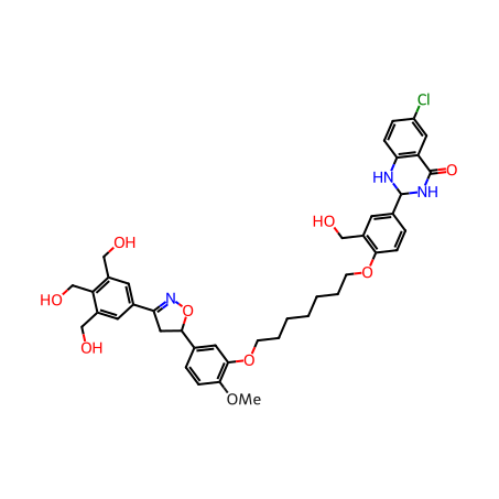 COc1ccc(C2CC(c3cc(CO)c(CO)c(CO)c3)=NO2)cc1OCCCCCCCOc1ccc(C2NC(=O)c3cc(Cl)ccc3N2)cc1CO